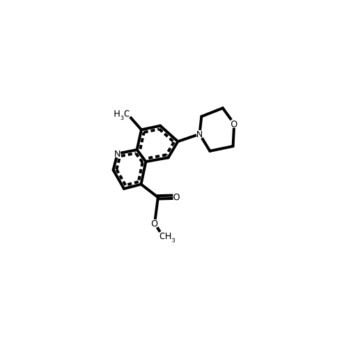 COC(=O)c1ccnc2c(C)cc(N3CCOCC3)cc12